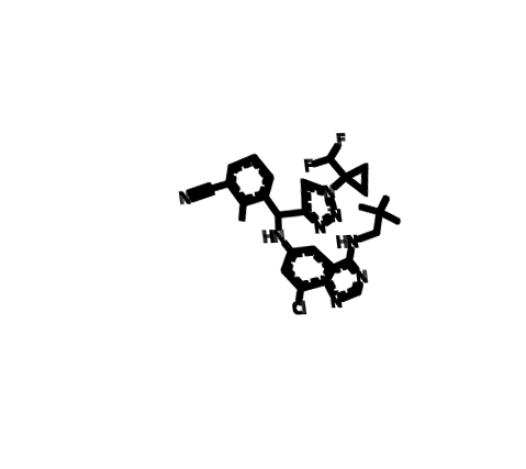 Cc1c(C#N)cccc1C(Nc1cc(Cl)c2ncnc(NCC(C)(C)C)c2c1)c1cn(C2(C(F)F)CC2)nn1